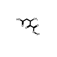 CC(CC(=O)O)C(=O)C(=O)OS